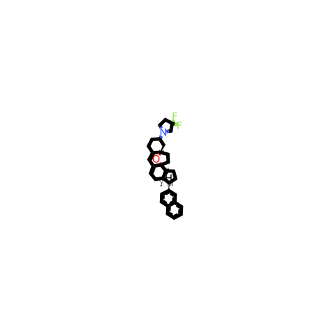 C[C@]12CC=C3C=C4CCC(N5CCC(F)(F)C5)C[C@]45CCC3(O5)[C@@H]1CC[C@@H]2c1ccc2ccccc2c1